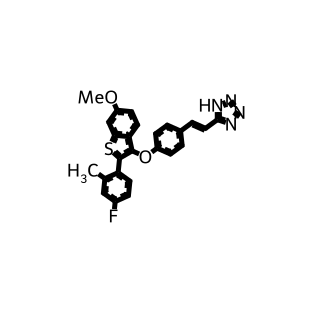 COc1ccc2c(Oc3ccc(C=Cc4nnn[nH]4)cc3)c(-c3ccc(F)cc3C)sc2c1